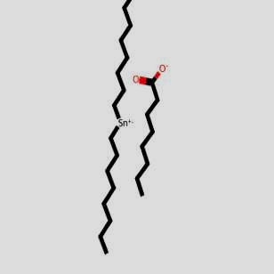 CCCCCCCC(=O)[O-].CCCCCCC[CH2][Sn+][CH2]CCCCCCC